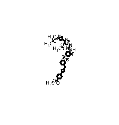 CCOC(C)n1cc(-c2ncn3nc(Nc4ccc(S(=O)(=O)c5cccc(CC6CC(c7ccc(C(=O)OC)cc7)C6)c5)cc4F)nc3c2OC(C)C)cn1